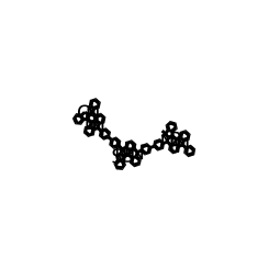 CC1(C)C2=C(B3c4ccccc4N(c4ccccc4)c4cccc(c43)N2c2ccc(-c3ccc(N4c5ccccc5B5c6c4cccc6N(c4ccc(-c6ccc(N7c8ccccc8B8c9c7cccc9N(c7ccccc7)c7oc9ccccc9c78)cc6)cc4)c4sc6ccccc6c45)cc3)cc2)c2ccccc21